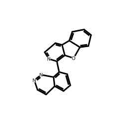 c1cc(-c2nccc3c2oc2ccccc23)c2nnccc2c1